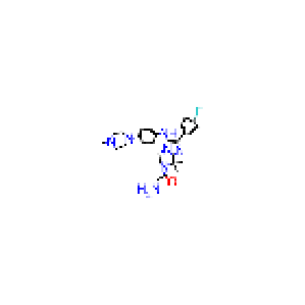 CN1CCN(c2ccc(Nc3c(-c4ccc(F)cc4)nc4n3CCN(C(=O)CN)C4(C)C)cc2)CC1